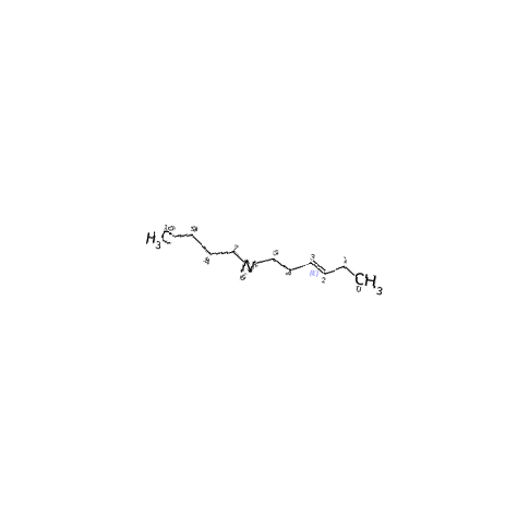 CC/C=C/CC[N]CCCC